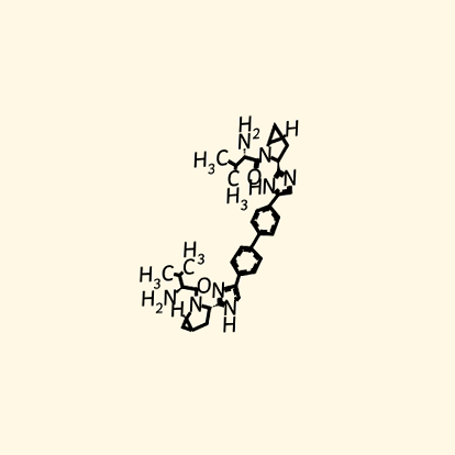 CC(C)[C@H](N)C(=O)N1C2C[C@@H]2C[C@H]1c1ncc(-c2ccc(-c3ccc(-c4c[nH]c([C@@H]5CC6C[C@H]6N5C(=O)[C@@H](N)C(C)C)n4)cc3)cc2)[nH]1